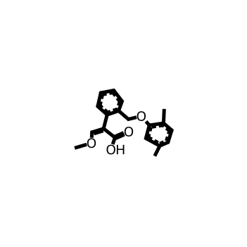 COC=C(C(=O)O)c1ccccc1COc1cc(C)ccc1C